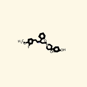 COc1ccc(C/C=C(/CC(=O)N2CCC(O)(c3ccc(O)cc3)CC2)c2ccccc2)cc1F